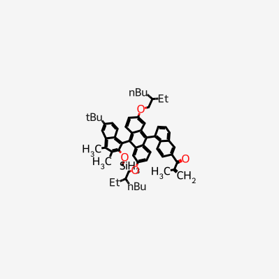 C=C(C)C(=O)c1ccc2c(-c3c4cc(OCC(CC)CCCC)ccc4c(-c4c(O[SiH3])c(C)c(C)c5cc(C(C)(C)C)ccc45)c4cc(OCC(CC)CCCC)ccc34)cccc2c1